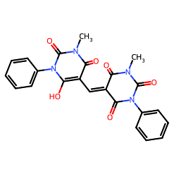 CN1C(=O)C(=Cc2c(O)n(-c3ccccc3)c(=O)n(C)c2=O)C(=O)N(c2ccccc2)C1=O